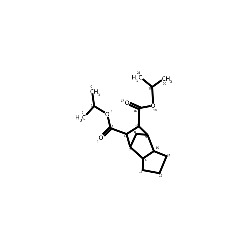 CC(C)OC(=O)C1C2CC(C3CCCC32)C1C(=O)OC(C)C